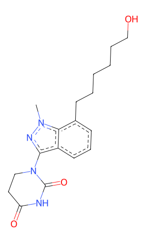 Cn1nc(N2CCC(=O)NC2=O)c2cccc(CCCCCCO)c21